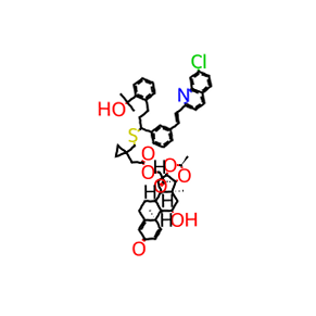 C[C@@H]1O[C@@H]2C[C@H]3[C@@H]4CCC5=CC(=O)C=C[C@]5(C)[C@H]4[C@@H](O)C[C@]3(C)[C@]2(C(=O)COC(=O)CC2(CSC(CCc3ccccc3C(C)(C)O)c3cccc(/C=C/c4ccc5ccc(Cl)cc5n4)c3)CC2)O1